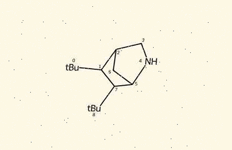 CC(C)(C)C1C2CNC(C2)C1C(C)(C)C